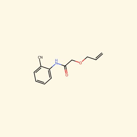 C=CCOCC(=O)Nc1ccccc1C#N